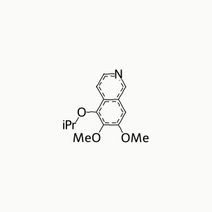 COc1cc2cnccc2c(OC(C)C)c1OC